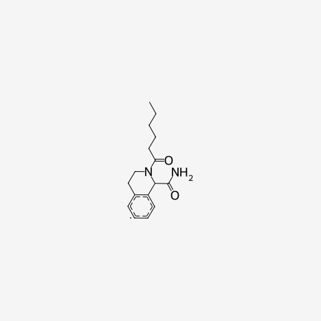 CCCCCC(=O)N1CCc2c[c]ccc2C1C(N)=O